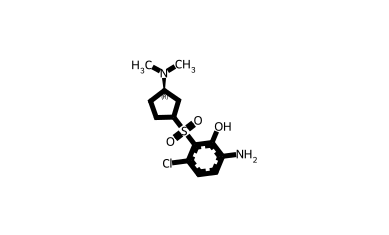 CN(C)[C@@H]1CCC(S(=O)(=O)c2c(Cl)ccc(N)c2O)C1